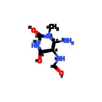 Cn1c(N)c(NC=O)c(=O)[nH]c1=O